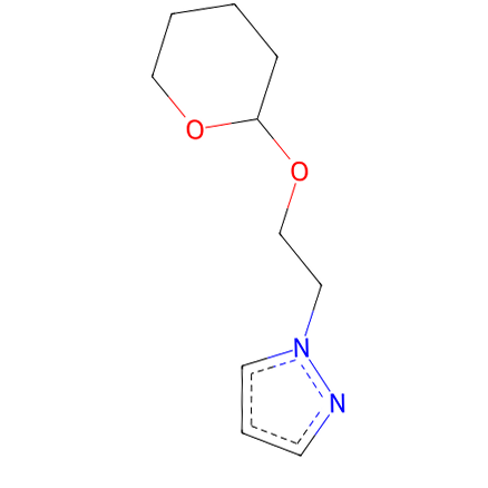 c1cnn(CCOC2CCCCO2)c1